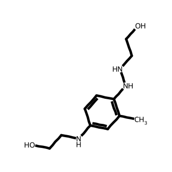 Cc1cc(NCCO)ccc1NNCCO